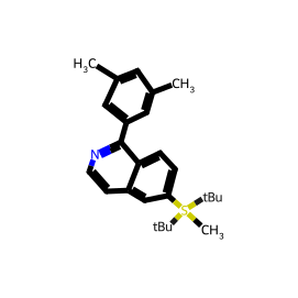 Cc1cc(C)cc(-c2nccc3cc(S(C)(C(C)(C)C)C(C)(C)C)ccc23)c1